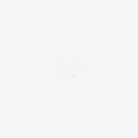 O=[Se](=O)(O)O.[Ag]